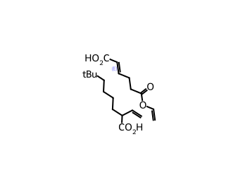 C=CC(CCCCC(C)(C)C)C(=O)O.C=COC(=O)CC/C=C/C(=O)O